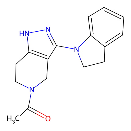 CC(=O)N1CCc2[nH]nc(N3CCc4ccccc43)c2C1